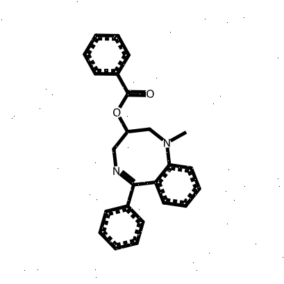 CN1CC(OC(=O)c2ccccc2)CN=C(c2ccccc2)c2ccccc21